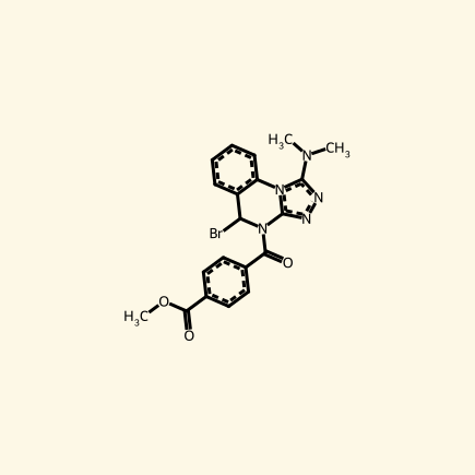 COC(=O)c1ccc(C(=O)N2c3nnc(N(C)C)n3-c3ccccc3C2Br)cc1